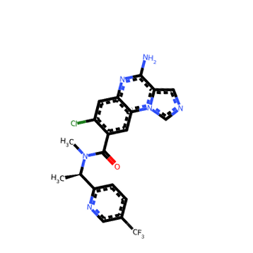 C[C@H](c1ccc(C(F)(F)F)cn1)N(C)C(=O)c1cc2c(cc1Cl)nc(N)c1cncn12